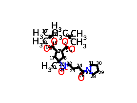 CC(C)(C)OC(=O)CCC(C)(CCC(=O)OC(C)(C)C)/[N+]([O-])=C/CCC(=O)N1CCCC1